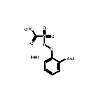 CCCCCCCCc1ccccc1OOS(=O)(=O)C(=O)C=O.[NaH]